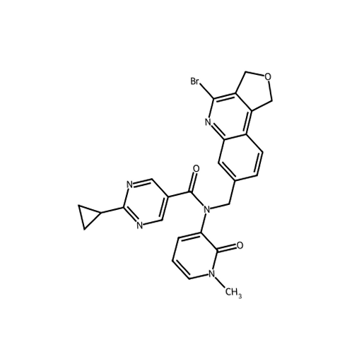 Cn1cccc(N(Cc2ccc3c4c(c(Br)nc3c2)COC4)C(=O)c2cnc(C3CC3)nc2)c1=O